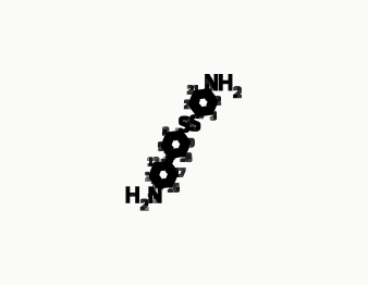 Nc1ccc(SSc2ccc(-c3ccc(N)cc3)cc2)cc1